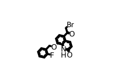 O=C(CBr)c1ccc(OCc2ccccc2F)c2[nH]c(=O)ccc12